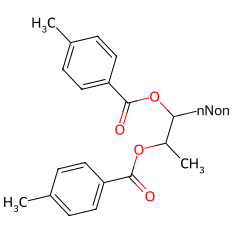 CCCCCCCCCC(OC(=O)c1ccc(C)cc1)C(C)OC(=O)c1ccc(C)cc1